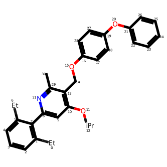 CCc1cccc(CC)c1-c1cc(OC(C)C)c(COc2ccc(Oc3ccccc3)cc2)c(C)n1